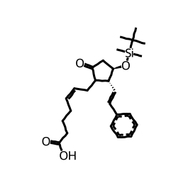 CC(C)(C)[Si](C)(C)O[C@@H]1CC(=O)C(C/C=C\CCCC(=O)O)[C@H]1/C=C/c1ccccc1